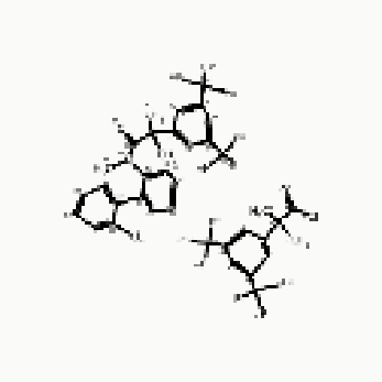 CC(C)(C(=O)Cl)c1cc(C(F)(F)F)cc(C(F)(F)F)c1.CN(C(=O)C(C)(C)c1cc(C(F)(F)F)cc(C(F)(F)F)c1)c1ccccc1-c1ccccc1Cl